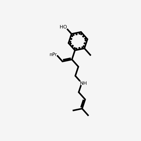 CCC/C=C(/CCNCC=C(C)C)c1cc(O)ccc1C